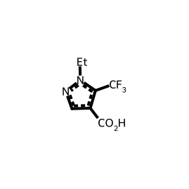 CCn1ncc(C(=O)O)c1C(F)(F)F